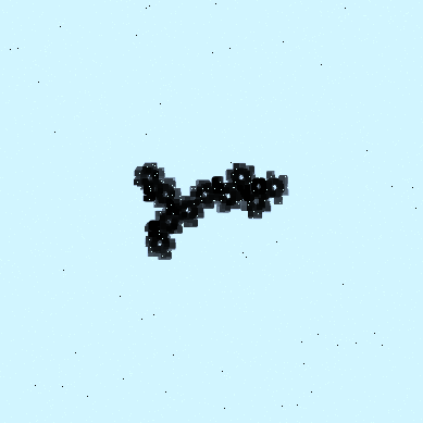 c1ccc2c(c1)oc1c(-n3c4ccccc4c4c5sc6ccc(-c7ccc8c9cc%10c(cc9n(-c9ccc%11c(c9)sc9ccccc9%11)c8c7)sc7ccccc7%10)cc6c5ccc43)cccc12